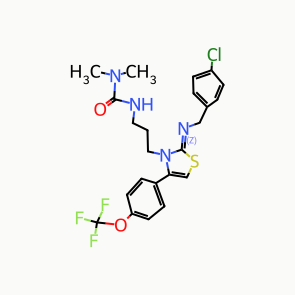 CN(C)C(=O)NCCCn1c(-c2ccc(OC(F)(F)F)cc2)cs/c1=N\Cc1ccc(Cl)cc1